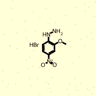 Br.COc1cc([N+](=O)[O-])ccc1NN